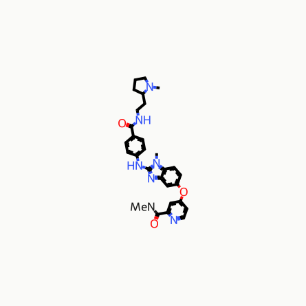 CNC(=O)c1cc(Oc2ccc3c(c2)nc(Nc2ccc(C(=O)NCCC4CCCN4C)cc2)n3C)ccn1